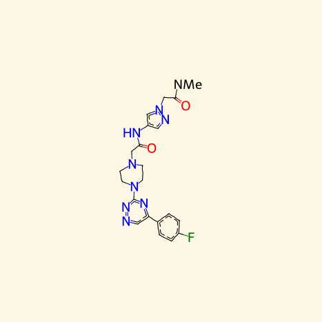 CNC(=O)Cn1cc(NC(=O)CN2CCN(c3nncc(-c4ccc(F)cc4)n3)CC2)cn1